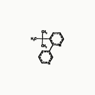 CC(C)(C)c1cccnc1-c1cccnc1